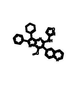 COc1c(-c2ccc3ncccc3c2)c(Nc2ccon2)nc2c(C3=CCCCC3)c(-c3ccccc3)nn12